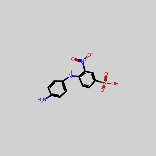 Nc1ccc(Nc2ccc(S(=O)(=O)O)cc2[N+](=O)[O-])cc1